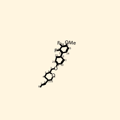 C/C=C/C1CCC(COc2ccc(-c3ccc(OC)c(F)c3F)cc2)OC1